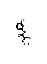 CC(=O)/C(=N\O)C(=O)Nc1cccc(Br)c1